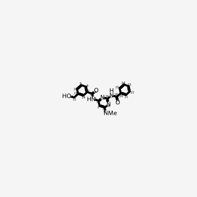 CNc1cc(NC(=O)c2cccc(CO)c2)nc(NC(=O)c2ccccc2)n1